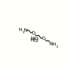 Cl.Cl.NCCOCCCOCCN